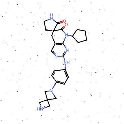 O=C1NCC[C@@]12Cc1cnc(Nc3ccc(N4CC5(CNC5)C4)cc3)nc1N(C1CCCC1)C2=O